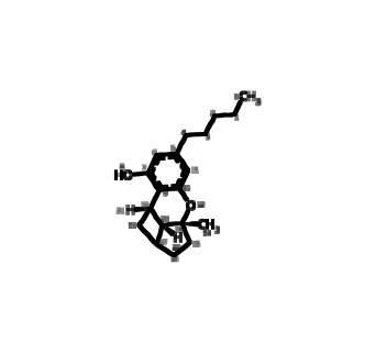 CCCCCc1cc(O)c2c(c1)O[C@]1(C)CCC3C[C@H]2[C@@H]31